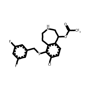 O=C(OC1CNCCc2c1ccc(Cl)c2SCc1cc(F)cc(F)c1)C(F)(F)F